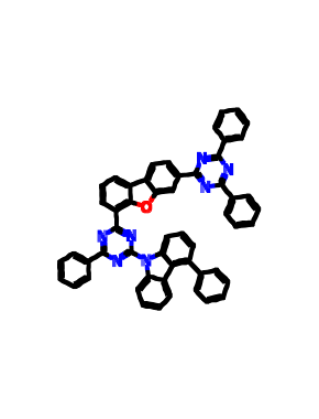 c1ccc(-c2nc(-c3ccccc3)nc(-c3ccc4c(c3)oc3c(-c5nc(-c6ccccc6)nc(-n6c7ccccc7c7c(-c8ccccc8)cccc76)n5)cccc34)n2)cc1